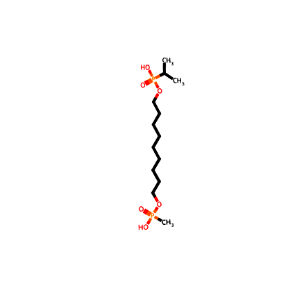 CC(C)P(=O)(O)OCCCCCCCCCOP(C)(=O)O